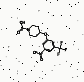 O=C(O)N1CCC(Oc2cc([N+](=O)[O-])cc(C(F)(F)F)c2)CC1